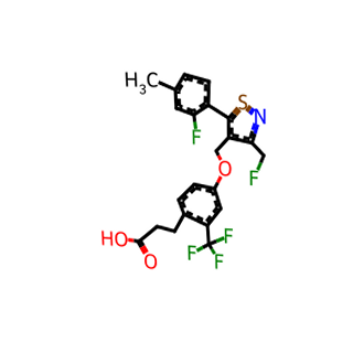 Cc1ccc(-c2snc(CF)c2COc2ccc(CCC(=O)O)c(C(F)(F)F)c2)c(F)c1